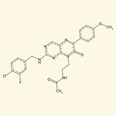 COc1ccc(-c2nc3cnc(NCc4ccc(Cl)c(F)c4)nc3n(CCNC(C)=O)c2=O)cc1